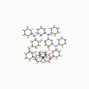 c1ccc(N2c3cc4c(cc3B3c5sc6ccccc6c5Oc5cccc2c53)B2c3cc5c(cc3N(c3ccccc3)c3cccc(c32)N4c2ccccc2)Oc2cccc3c2B5c2sc4ccccc4c2O3)cc1